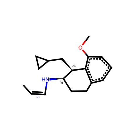 C/C=C\N[C@@H]1CCc2cccc(OC)c2[C@@H]1CC1CC1